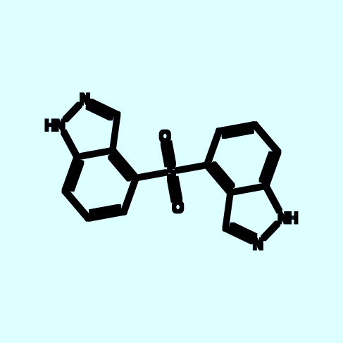 O=S(=O)(c1cccc2[nH]ncc12)c1cccc2[nH]ncc12